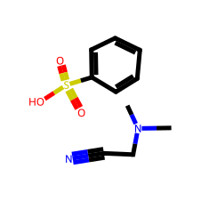 CN(C)CC#N.O=S(=O)(O)c1ccccc1